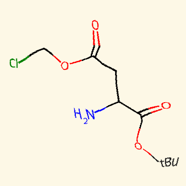 CC(C)(C)OC(=O)C(N)CC(=O)OCCl